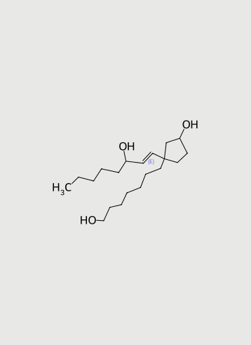 CCCCCC(O)/C=C/C1(CCCCCCCO)CCC(O)C1